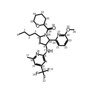 CCCCC1CC(Nc2cc(C(F)(F)F)cc(C)n2)C(c2cccc(OC)n2)N1C(=O)C1CCCCO1